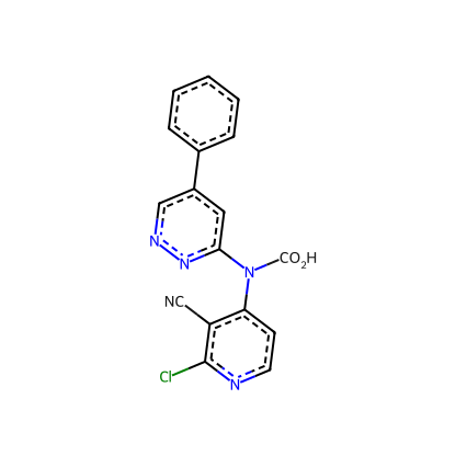 N#Cc1c(N(C(=O)O)c2cc(-c3ccccc3)cnn2)ccnc1Cl